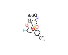 CC(C)CO/N=C1/CC[C@@]2(S(=O)(=O)c3ccc(C(F)(F)F)cc3)c3c(F)ccc(F)c3OC[C@H]2C1